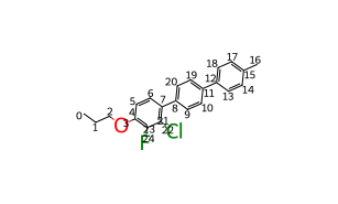 CCCOc1ccc(-c2ccc(-c3ccc(C)cc3)cc2)c(Cl)c1F